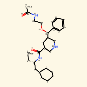 CNC[C@@H](CC1CCCCC1)NC(=O)C1CNCC([C@@H](OCCNC(=O)OC)c2ccccc2)C1